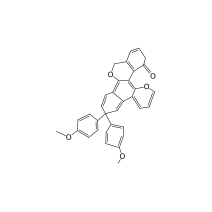 COc1ccc(C2(c3ccc(OC)cc3)C=Cc3c4c(c5c(c3=C2)=CC=CO5)C2=C(C=CCC2=O)CO4)cc1